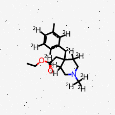 [2H]c1c([2H])c(C)c([2H])c(CC2(CC(=O)OCC)C([2H])([2H])CN(C([2H])([2H])[2H])CC2([2H])[2H])c1[2H]